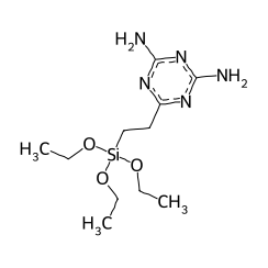 CCO[Si](CCc1nc(N)nc(N)n1)(OCC)OCC